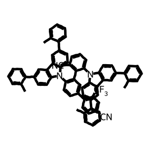 Cc1ccccc1-c1ccc2c(c1)c1cc(-c3ccccc3C)ccc1n2-c1ccc(-c2ccc(C#N)cc2C(F)(F)F)cc1-c1c(C#N)cccc1-n1c2ccc(-c3ccccc3C)cc2c2cc(-c3ccccc3C)ccc21